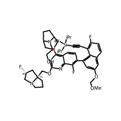 COCOc1cc(-c2ccc3c(N4CC5CCC(C4)N5CCO)nc(OC[C@@]45CCCN4C[C@H](F)C5)nc3c2F)c2c(C#C[Si](C(C)C)(C(C)C)C(C)C)c(F)ccc2c1